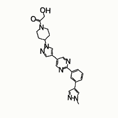 Cn1cc(-c2cccc(-c3ncc(-c4cnn(C5CCN(C(=O)CO)CC5)c4)cn3)c2)cn1